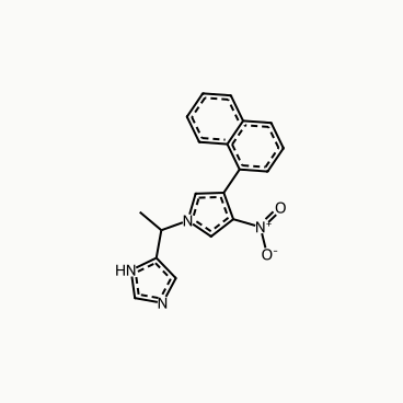 CC(c1cnc[nH]1)n1cc(-c2cccc3ccccc23)c([N+](=O)[O-])c1